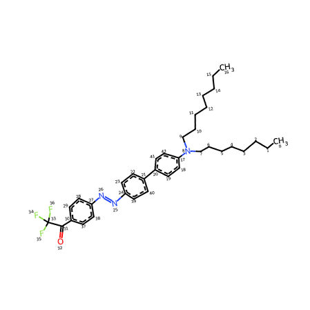 CCCCCCCCN(CCCCCCCC)c1ccc(-c2ccc(/N=N/c3ccc(C(=O)C(F)(F)F)cc3)cc2)cc1